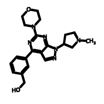 CN1CCC(n2ncc3c(-c4cccc(CO)c4)nc(N4CCOCC4)nc32)C1